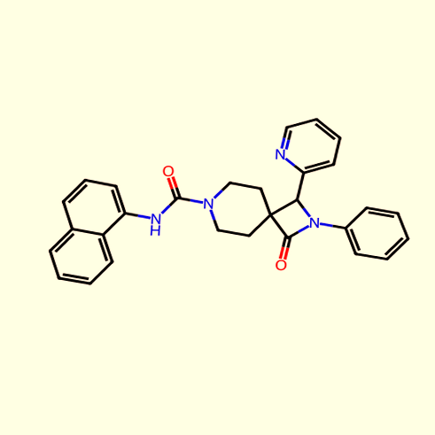 O=C(Nc1cccc2ccccc12)N1CCC2(CC1)C(=O)N(c1ccccc1)C2c1ccccn1